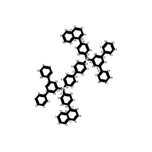 c1ccc(-c2cc(-c3ccccc3)cc(N(c3ccc(-c4ccc(N(c5ccc(-c6cccc7ccccc67)cc5)c5cc(-c6ccccc6)cc(-c6ccccc6)c5)cc4)cc3)c3ccc(-c4cccc5ccccc45)cc3)c2)cc1